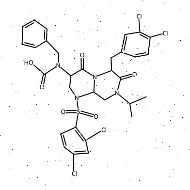 CC(C)N1CC2N(C(=O)C(N(Cc3ccccc3)C(=O)O)CN2S(=O)(=O)c2ccc(Cl)cc2Cl)C(Cc2ccc(Cl)c(Cl)c2)C1=O